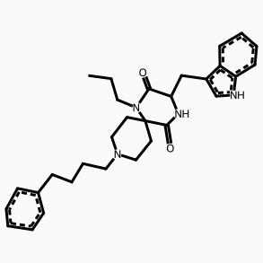 CCCN1C(=O)C(Cc2c[nH]c3ccccc23)NC(=O)C12CCN(CCCCc1ccccc1)CC2